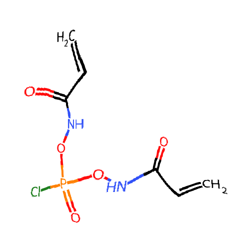 C=CC(=O)NOP(=O)(Cl)ONC(=O)C=C